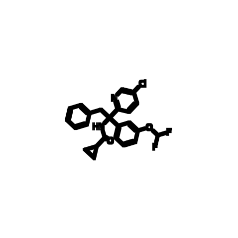 O=C(NC(Cc1ccccc1)(c1cccc(OC(F)F)c1)c1ccc(Cl)cn1)C1CC1